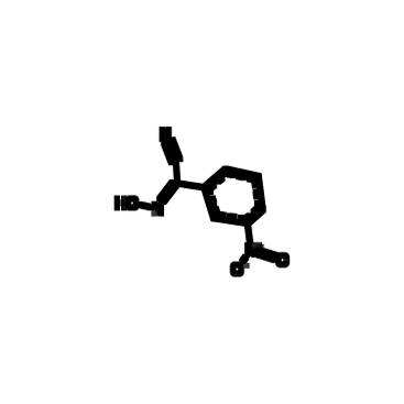 N#CC(=NO)c1cccc([N+](=O)[O-])c1